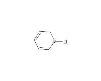 ClB1C=CC=CC1